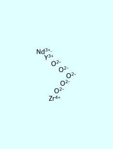 [Nd+3].[O-2].[O-2].[O-2].[O-2].[O-2].[Y+3].[Zr+4]